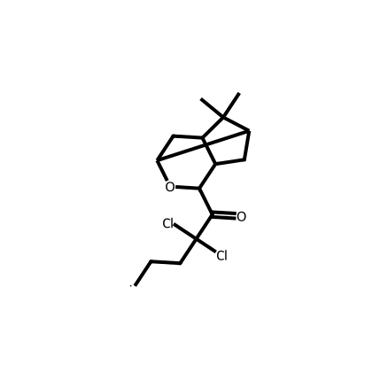 [CH2]CCC(Cl)(Cl)C(=O)[C]1OC2CC3C1CC2C3(C)C